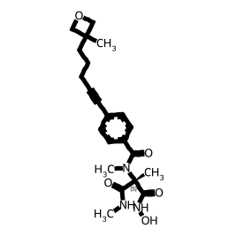 CNC(=O)[C@@](C)(C(=O)NO)N(C)C(=O)c1ccc(C#CCCCC2(C)COC2)cc1